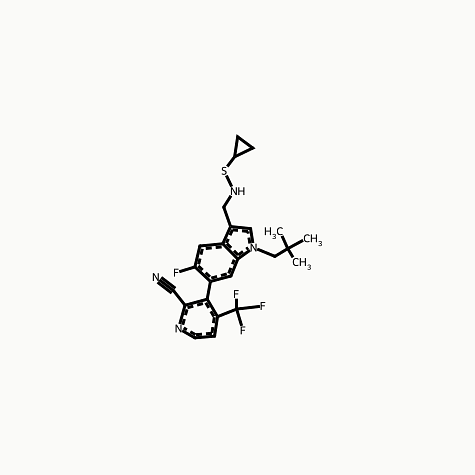 CC(C)(C)Cn1cc(CNSC2CC2)c2cc(F)c(-c3c(C(F)(F)F)ccnc3C#N)cc21